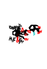 CO[C@@H]1CC[C@@]23CC[C@@H](C)[C@@](C)([C@H](OC(=O)COc4ccc5c(c4F)B(O)OC5)C[C@@](C)(CCO)C(=O)[C@@H]2C)[C@@H]13